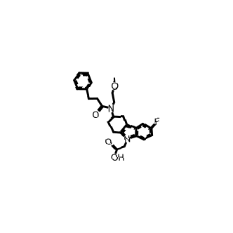 COCCN(C(=O)CCc1ccccc1)C1CCc2c(c3cc(F)ccc3n2CC(=O)O)C1